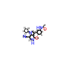 CC(=O)Nc1cccc(-c2cn(C3CCCC3)c3c(C#N)c[nH]c(=O)c23)c1